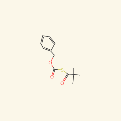 CC(C)(C)C(=O)SC(=O)OCc1ccccc1